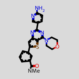 CNC(=O)c1cccc(-c2cc3nc(-c4ccc(N)nc4)nc(N4CCOCC4)c3s2)c1